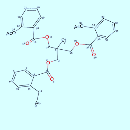 CCC(COC(=O)c1ccccc1CC(C)=O)(COC(=O)c1ccccc1OC(C)=O)COC(=O)c1ccccc1OC(C)=O